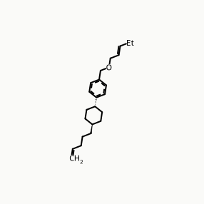 C=CCCC[C@H]1CC[C@H](c2ccc(COC/C=C/CC)cc2)CC1